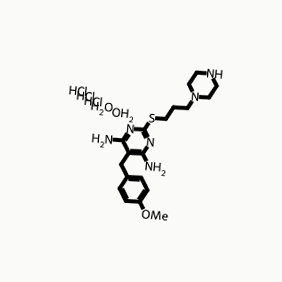 COc1ccc(Cc2c(N)nc(SCCCN3CCNCC3)nc2N)cc1.Cl.Cl.Cl.O.O